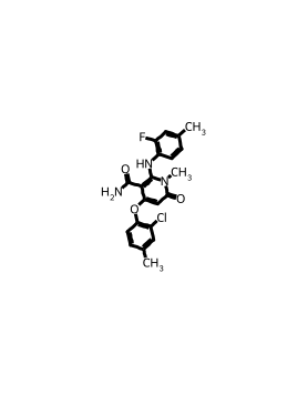 Cc1ccc(Nc2c(C(N)=O)c(Oc3ccc(C)cc3Cl)cc(=O)n2C)c(F)c1